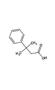 CC(C)(CC(=O)O)c1[c]cccc1